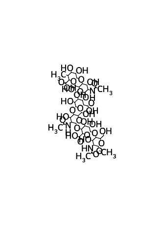 COC1OC(CO)C(OC2OC(C(=O)O)C(OC3OC(CO)C(OC4OC(C(=O)O)C(OC5OC(CO)C(OC6OC(C(=O)O)C(C)C(O)C6O)C(O)C5NC(C)=O)C(O)C4O)C(O)C3NC(C)=O)C(O)C2O)C(O)C1NC(C)=O